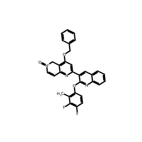 Cc1c(Oc2nc3ccccc3cc2-c2cc(OCc3ccccc3)c3c(n2)C=C[N+](=O)C3)ccc(F)c1F